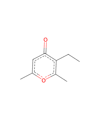 CCc1c(C)oc(C)cc1=O